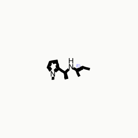 C=C(N/C(C)=C/C)c1cccn1C